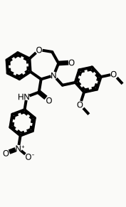 COc1ccc(CN2C(=O)COc3ccccc3C2C(=O)Nc2ccc([N+](=O)[O-])cc2)c(OC)c1